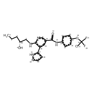 CCC[C@@H](O)CNc1ncc(C(=O)Nc2ccc(OC(F)(F)Cl)cc2)cc1-c1ccn[nH]1